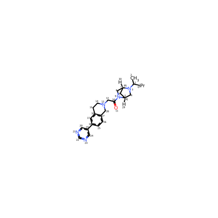 CC(C)C(C)N1C[C@H]2C[C@@H]1CN2C(=O)CN1CCc2cc(-c3cncnc3)ccc2C1